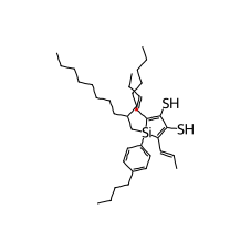 CC=CC1=C(S)C(S)=C(C=CCC)[Si]1(CC(CCCCCC)CCCCCCCC)c1ccc(CCCC)cc1